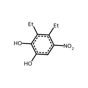 CCc1c([N+](=O)[O-])cc(O)c(O)c1CC